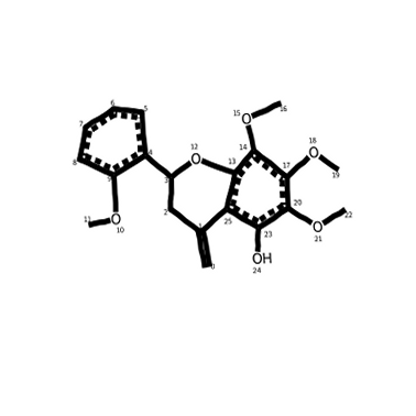 C=C1CC(c2ccccc2OC)Oc2c(OC)c(OC)c(OC)c(O)c21